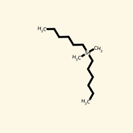 CCCCC[CH2][Sn]([CH3])([CH3])[CH2]CCCCC